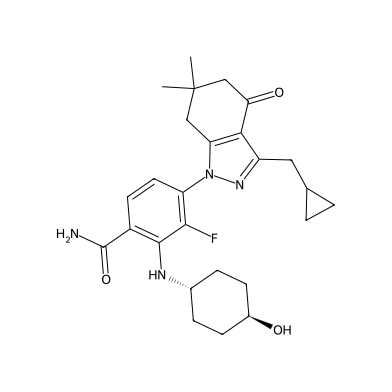 CC1(C)CC(=O)c2c(CC3CC3)nn(-c3ccc(C(N)=O)c(N[C@H]4CC[C@H](O)CC4)c3F)c2C1